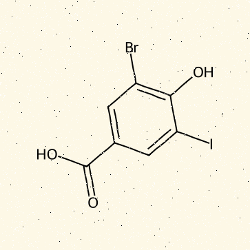 O=C(O)c1cc(Br)c(O)c(I)c1